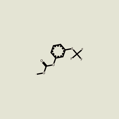 [CH2]OC(=O)Oc1cccc(SC(F)(F)F)c1